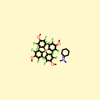 COc1c(F)c(F)c([B-](c2c(F)c(F)c(OC)c(F)c2F)(c2c(F)c(F)c(OC)c(F)c2F)c2c(F)c(F)c(OC)c(F)c2F)c(F)c1F.C[NH+](C)C1CCCCC1